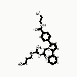 N#CCCNC(=O)c1ccc(-c2ccc(-c3ccccc3)n2CC(=O)/N=C(\N)NCCCO)cc1